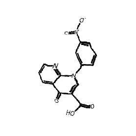 O=C(O)c1cn(-c2cccc([N+](=O)[O-])c2)c2ncccc2c1=O